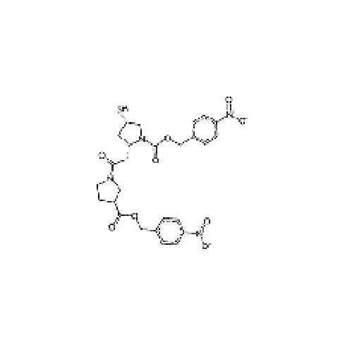 O=C(OCc1ccc([N+](=O)[O-])cc1)[C@H]1CCN(C(=O)C[C@@H]2C[C@H](S)CN2C(=O)OCc2ccc([N+](=O)[O-])cc2)C1